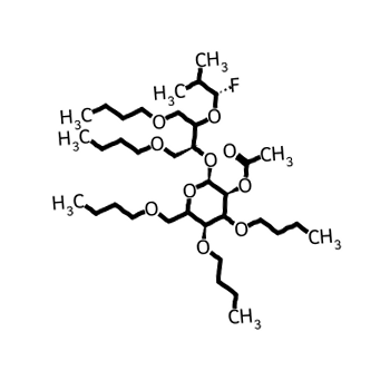 CCCCOCC1O[C@@H](O[C@@H](COCCCC)C(COCCCC)O[C@@H](F)C(C)C)[C@@H](OC(C)=O)C(OCCCC)[C@H]1OCCCC